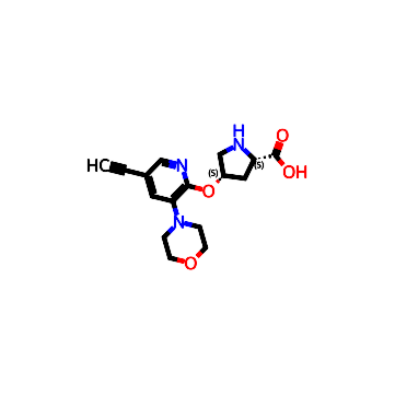 C#Cc1cnc(O[C@@H]2CN[C@H](C(=O)O)C2)c(N2CCOCC2)c1